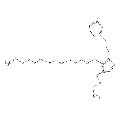 CCCCCCCCCCCCCCc1n(CCCC)cc[n+]1CCCc1ccccc1